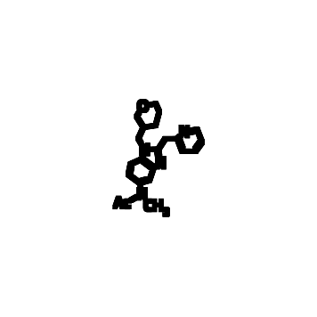 CC(=O)N(C)c1ccc2c(c1)nc(Cc1ccccn1)n2CC1CCCOC1